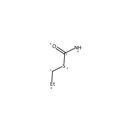 CCCSC([NH])=O